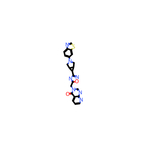 O=c1c2cccnc2ncn1Cc1nc(C2C3CN(c4ccc5ncsc5c4)CC32)no1